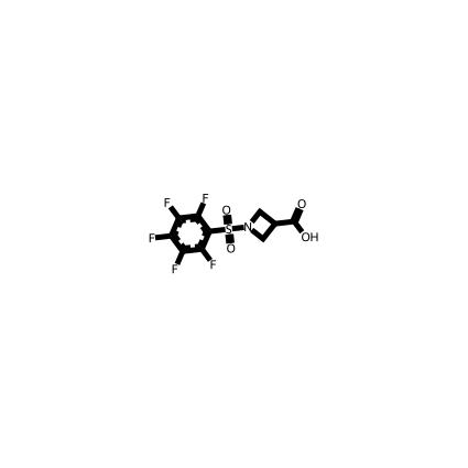 O=C(O)C1CN(S(=O)(=O)c2c(F)c(F)c(F)c(F)c2F)C1